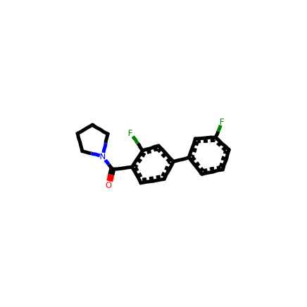 O=C(c1ccc(-c2[c]ccc(F)c2)cc1F)N1CCCC1